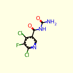 NC(=O)NC(=O)c1cnc(Cl)c(F)c1Cl